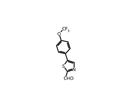 O=Cc1ncc(-c2ccc(OC(F)(F)F)cc2)s1